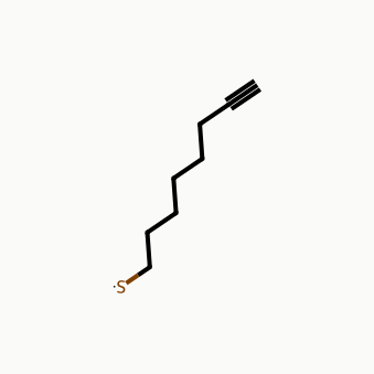 C#CCCCCCC[S]